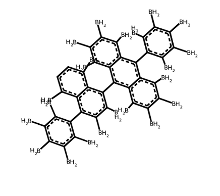 Bc1c(B)c(B)c(-c2c(B)c(B)c(-c3c4c(B)c(B)c(B)c(B)c4c(-c4c(B)c(B)c(B)c(B)c4B)c4c(B)c(B)c(B)c(B)c34)c3c(B)ccc(B)c23)c(B)c1B